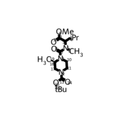 COC(=O)C(C(C)C)N(C)C(=O)N1CCN(C(=O)OC(C)(C)C)C[C@H]1C